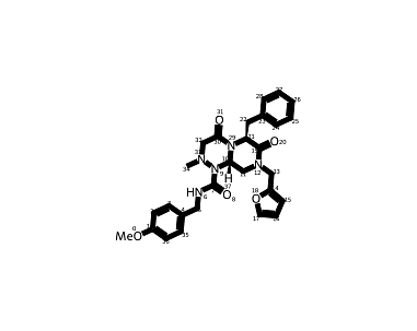 COc1ccc(CNC(=O)N2[C@H]3CN(Cc4ccco4)C(=O)[C@H](Cc4ccccc4)N3C(=O)CN2C)cc1